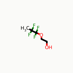 CC(F)(F)C(F)(F)OCCO